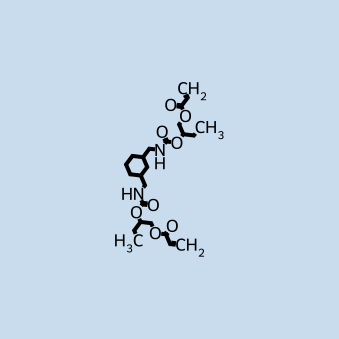 C=CC(=O)OCC(CC)OC(=O)NCC1CCCC(CNC(=O)OC(CC)COC(=O)C=C)C1